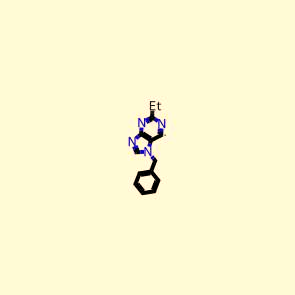 CCc1n[c]c2c(ncn2Cc2ccccc2)n1